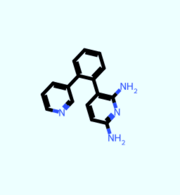 Nc1ccc(-c2ccccc2-c2cccnc2)c(N)n1